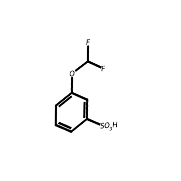 O=S(=O)(O)c1cccc(OC(F)F)c1